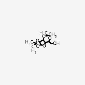 CC1(C)OC2OC3C(CO)OC(C)(C)OC3C2O1